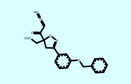 N=[N+]=CC(=O)C1(CC(=O)[O-])CC(c2cccc(OCc3ccccc3)c2)=NO1